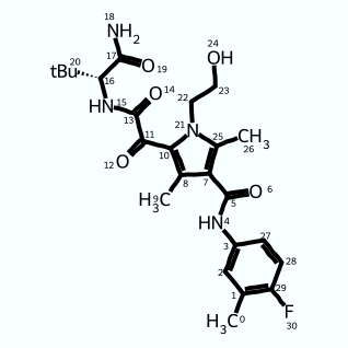 Cc1cc(NC(=O)c2c(C)c(C(=O)C(=O)N[C@@H](C(N)=O)C(C)(C)C)n(CCO)c2C)ccc1F